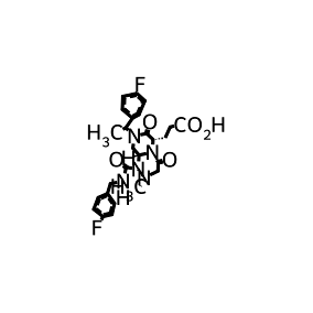 CC(c1ccc(F)cc1)N1C[C@H]2N(C(=O)CN(C)N2C(=O)NCc2ccc(F)cc2)[C@@H](CCC(=O)O)C1=O